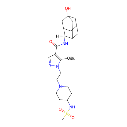 CC(C)COc1c(C(=O)N[C@H]2C3CC4CC2C[C@](O)(C4)C3)cnn1CCN1CCC(NS(C)(=O)=O)CC1